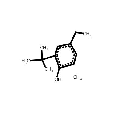 C.CCc1ccc(O)c(C(C)(C)C)c1